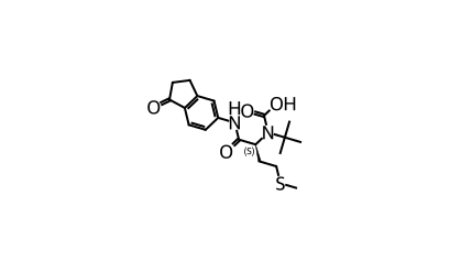 CSCC[C@@H](C(=O)Nc1ccc2c(c1)CCC2=O)N(C(=O)O)C(C)(C)C